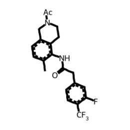 CC(=O)N1CCc2c(ccc(C)c2NC(=O)Cc2ccc(C(F)(F)F)c(F)c2)C1